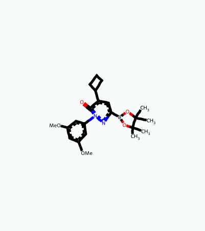 COc1cc(OC)cc(-n2nc(B3OC(C)(C)C(C)(C)O3)cc(C3CCC3)c2=O)c1